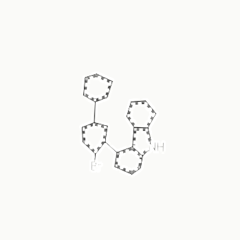 Brc1ccc(-c2ccccc2)cc1-c1cccc2[nH]c3ccccc3c12